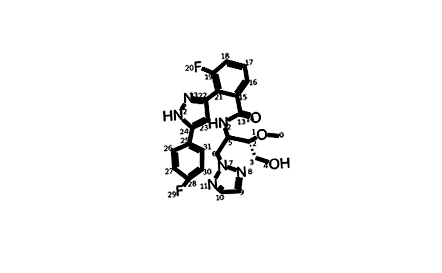 CO[C@H](CO)C(Cn1nccn1)NC(=O)c1cccc(F)c1-c1cc(-c2ccc(F)cc2)[nH]n1